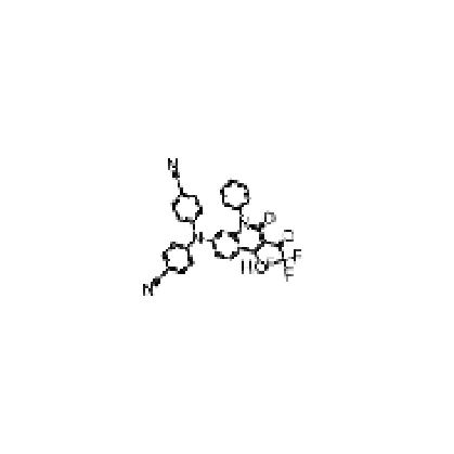 N#Cc1ccc(N(c2ccc(C#N)cc2)c2ccc3c(O)c(C(=O)C(F)(F)F)c(=O)n(-c4ccccc4)c3c2)cc1